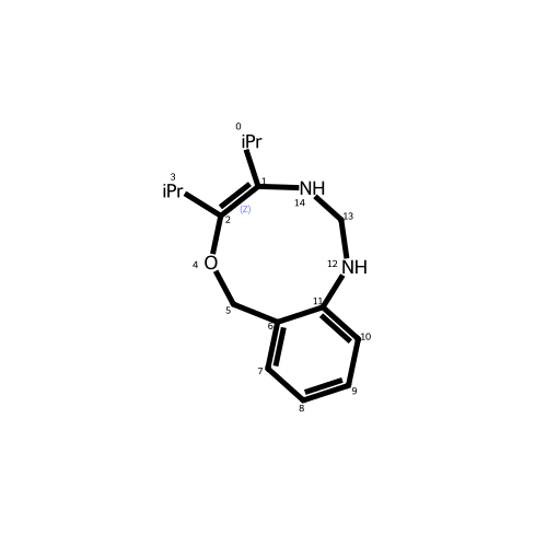 CC(C)/C1=C(\C(C)C)OCc2ccccc2NCN1